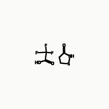 O=C(O)C(F)(F)F.O=C1CCSN1